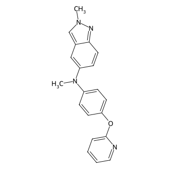 CN(c1ccc(Oc2ccccn2)cc1)c1ccc2nn(C)cc2c1